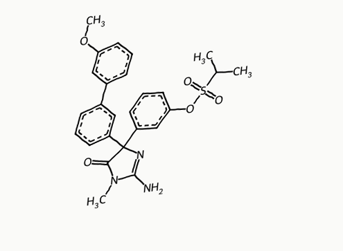 COc1cccc(-c2cccc(C3(c4cccc(OS(=O)(=O)C(C)C)c4)N=C(N)N(C)C3=O)c2)c1